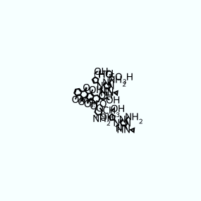 COc1cccc2c1C(=O)c1c(O)c3c(c(O)c1C2=O)C[C@@](O)(C(=O)CO)C[C@@H]3O[C@H]1C[C@H](N)[C@H](O)[C@H](C)O1.Cl.Nc1nc(NC2CC2)c2ncn([C@H]3C=C[C@@H](CO)C3)c2n1.Nc1nc(NC2CC2)c2ncn([C@H]3C=C[C@@H](CO)C3)c2n1.O=S(=O)(O)O